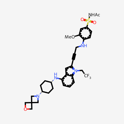 COc1cc(S(=O)(=O)NC(C)=O)ccc1NCC#Cc1cc2c(N[C@H]3CC[C@@H](N4CC5(COC5)C4)CC3)cccc2n1CC(F)(F)F